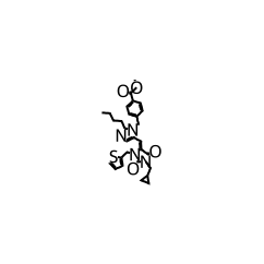 CCCCc1ncc(C=C2C(=O)N(CC3CC3)C(=O)N2Cc2cccs2)n1Cc1ccc(C(=O)OC)cc1